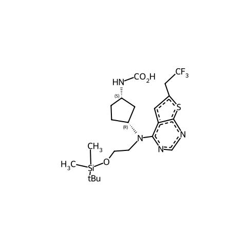 CC(C)(C)[Si](C)(C)OCCN(c1ncnc2sc(CC(F)(F)F)cc12)[C@@H]1CC[C@H](NC(=O)O)C1